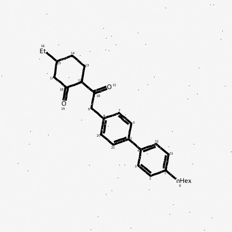 CCCCCCc1ccc(-c2ccc(CC(=O)C3CCC(CC)CC3=O)cc2)cc1